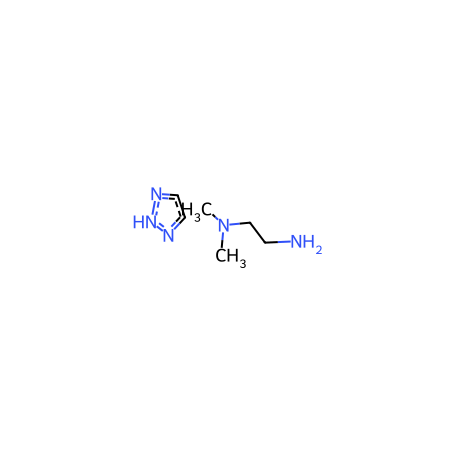 CN(C)CCN.c1cn[nH]n1